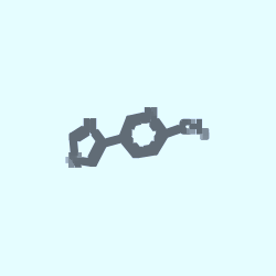 Cc1ccc(C2=C[N]C=N2)cn1